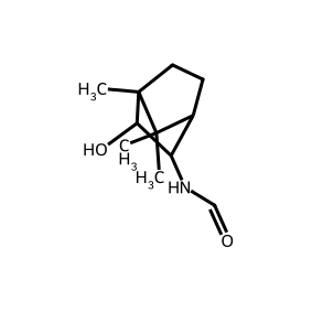 CC1(C)C2CCC1(C)C(O)C2NC=O